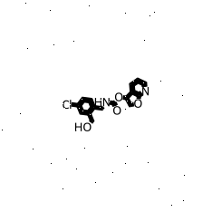 O=C(NCc1ccc(Cl)cc1CO)OC1COc2ncccc21